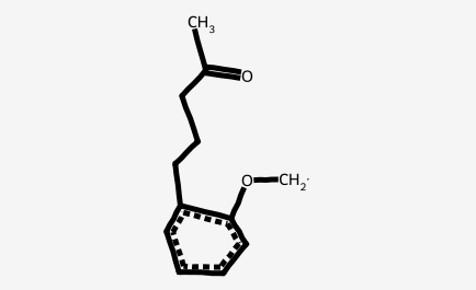 [CH2]Oc1ccccc1CCCC(C)=O